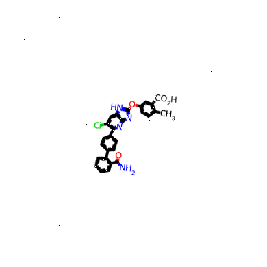 Cc1ccc(Oc2nc3nc(-c4ccc(-c5ccccc5C(N)=O)cc4)c(Cl)cc3[nH]2)cc1C(=O)O